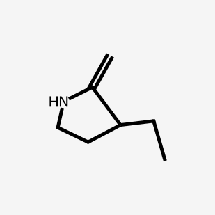 C=C1NCCC1CC